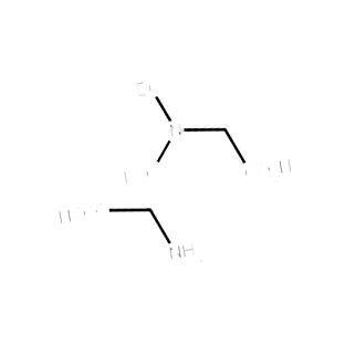 CCN(C)CC(=O)O.NCC(=O)O